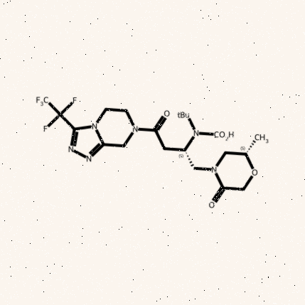 C[C@H]1CN(C[C@H](CC(=O)N2CCn3c(nnc3C(F)(F)C(F)(F)F)C2)N(C(=O)O)C(C)(C)C)C(=O)CO1